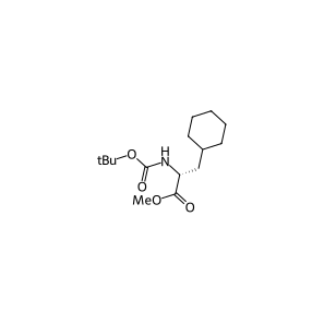 COC(=O)[C@@H](CC1CCCCC1)NC(=O)OC(C)(C)C